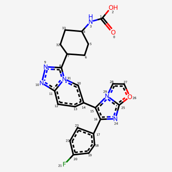 O=C(O)NC1CCC(c2nnc3ccc(-c4c(-c5ccc(F)cc5)nc5occn45)cn23)CC1